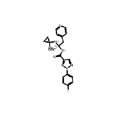 N#CC1(N[C@@](C=O)(Cc2ccncc2)NC(=O)c2cnn(-c3ccc(F)cc3)n2)CC1